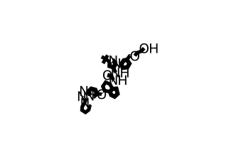 CC(C)(C)c1cc(NC(=O)N[C@H]2CC[C@@H](Oc3ccc4nnc(N5CCCCC5)n4c3)c3ccccc32)n(-c2cccc(COCCO)c2)n1